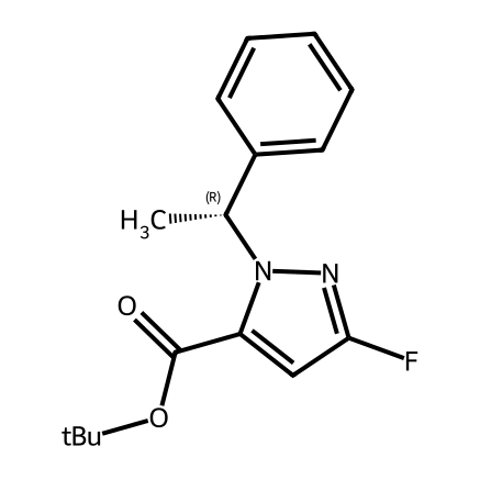 C[C@H](c1ccccc1)n1nc(F)cc1C(=O)OC(C)(C)C